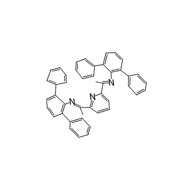 C/C(=N\c1c(-c2ccccc2)cccc1-c1ccccc1)c1cccc(/C(C)=N/c2c(-c3ccccc3)cccc2-c2ccccc2)n1